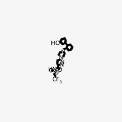 O=C(NS(=O)(=O)CCC(F)(F)F)c1ccc(N2CCN(Cc3ccccc3-c3cccc(O)c3)CC2)nn1